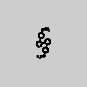 COc1ccc(-c2ccccc2-c2ccccc2-c2ccc(OC)cc2)cc1